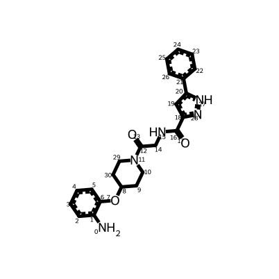 Nc1ccccc1OC1CCN(C(=O)CNC(=O)c2cc(-c3ccccc3)[nH]n2)CC1